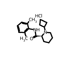 Cc1cccc(C)c1NC(=O)[C@@H]1CCCCN1C1CCC1.Cl